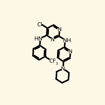 FC(F)(F)c1cccc(Nc2nc(Nc3ccc(N4CCCCC4)cn3)ncc2Cl)c1